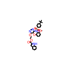 COc1cccc(Oc2c(NS(=O)(=O)c3ccc(C(C)(C)C)cc3)ncnc2OCCOC(=O)c2cc3ccccc3[nH]2)c1